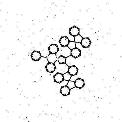 C1=C(c2cccc3c2-c2ccccc2C32c3ccccc3-c3ccccc32)C(c2cccc3c2-c2ccccc2C32c3ccccc3-c3ccccc32)=CS12c1ccccc1B(c1ccccc1)c1ccccc12